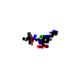 CC(C)(C)OC(=O)NCCn1nc(C(=O)O)c2ccc(NCc3cnns3)c(Cl)c21